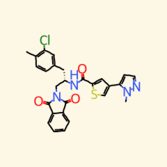 Cc1ccc(C[C@@H](CN2C(=O)c3ccccc3C2=O)NC(=O)c2cc(-c3ccnn3C)cs2)cc1Cl